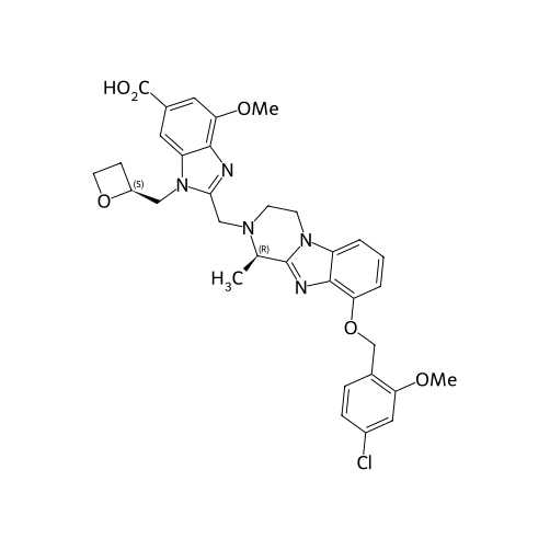 COc1cc(Cl)ccc1COc1cccc2c1nc1n2CCN(Cc2nc3c(OC)cc(C(=O)O)cc3n2C[C@@H]2CCO2)[C@@H]1C